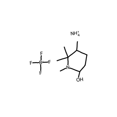 CC1CCC(O)N(C)C1(C)C.F[B-](F)(F)F.[NH4+]